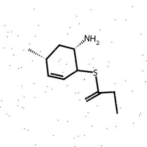 C=C(CC)SC1C=C[C@H](C)C[C@@H]1N